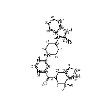 CC1(C)CN(C(=O)c2cc(N3CCC(n4c(=O)[nH]c5ncccc54)CC3)ncn2)Cc2cn[nH]c21